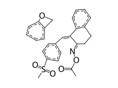 CC(=O)ON=C1CCc2ccccc2C1=Cc1ccc(S(C)(=O)=O)cc1.c1ccc2c(c1)CO2